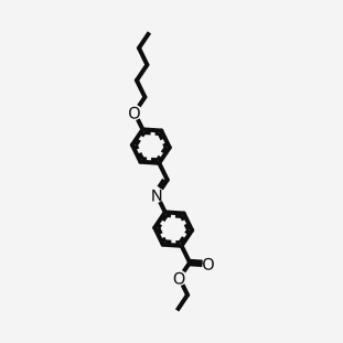 CCCCCOc1ccc(C=Nc2ccc(C(=O)OCC)cc2)cc1